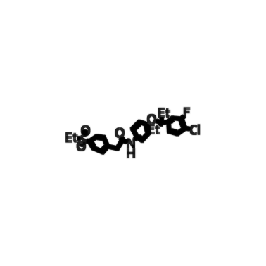 CCC(CC)(Oc1ccc(NC(=O)Cc2ccc(S(=O)(=O)CC)cc2)cc1)c1ccc(Cl)c(F)c1